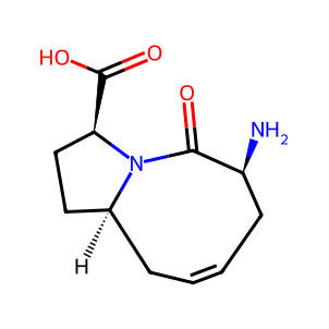 N[C@H]1CC=CC[C@H]2CC[C@@H](C(=O)O)N2C1=O